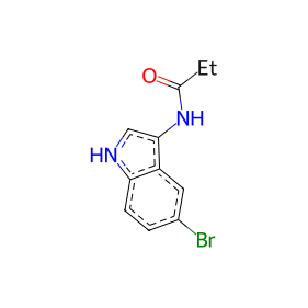 CCC(=O)Nc1c[nH]c2ccc(Br)cc12